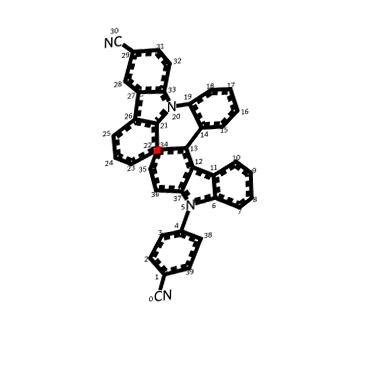 N#Cc1ccc(-n2c3ccccc3c3c(-c4ccccc4-n4c5ccccc5c5cc(C#N)ccc54)cccc32)cc1